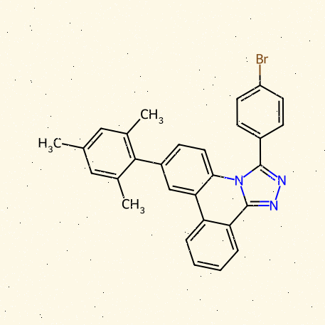 Cc1cc(C)c(-c2ccc3c(c2)c2ccccc2c2nnc(-c4ccc(Br)cc4)n32)c(C)c1